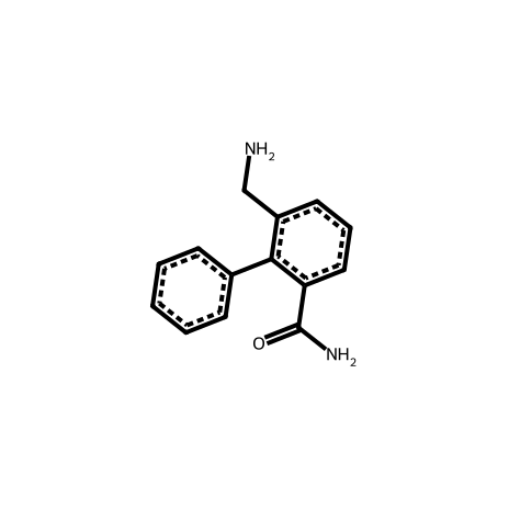 NCc1cccc(C(N)=O)c1-c1ccccc1